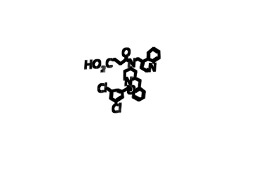 O=C(O)CCC(=O)N(Cc1ccnc2ccccc12)C1CCN(C(=O)c2cc(Cl)cc(Cl)c2)C(Cc2ccccc2)C1